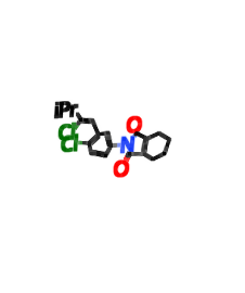 CC(C)/C(Cl)=C/c1cc(N2C(=O)C3=C(CCCC3)C2=O)ccc1Cl